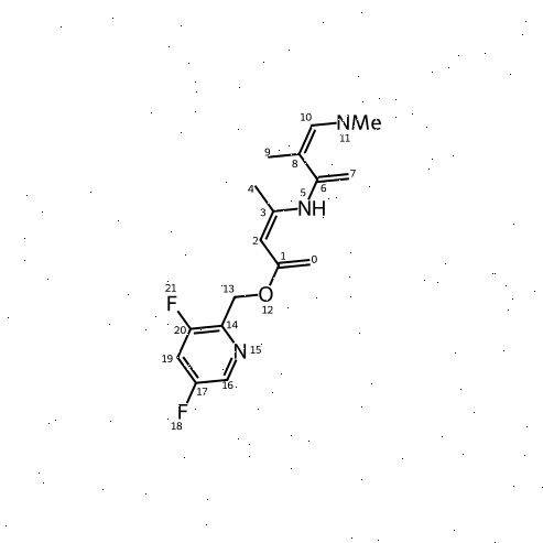 C=C(/C=C(/C)NC(=C)/C(C)=C\NC)OCc1ncc(F)cc1F